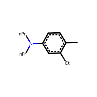 CCCN(CCC)c1ccc(C)c(CC)c1